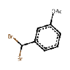 CC(=O)Oc1cccc(C(Br)Br)c1